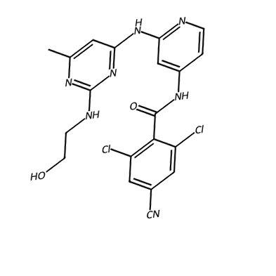 Cc1cc(Nc2cc(NC(=O)c3c(Cl)cc(C#N)cc3Cl)ccn2)nc(NCCO)n1